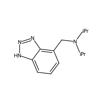 CC(C)N(Cc1cccc2[nH]nnc12)C(C)C